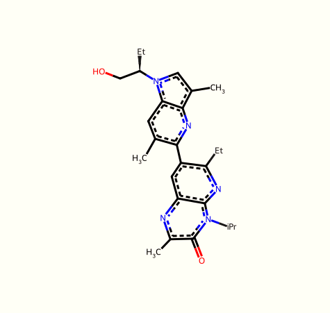 CCc1nc2c(cc1-c1nc3c(C)cn([C@H](CC)CO)c3cc1C)nc(C)c(=O)n2C(C)C